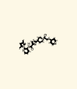 Cc1cc(C)n(-c2ncccc2NC(=O)c2csc(C3CCN(C(=O)CSc4ccncc4)CC3)n2)n1